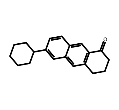 O=C1CCCc2cc3cc(C4CCCCC4)ccc3cc21